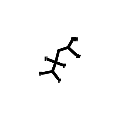 OC(Br)CC(F)(F)C(F)F